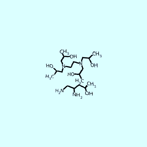 CC(O)CC(N)CN.CC(O)CN(CCN(CC(C)O)CC(C)O)CC(C)O